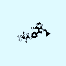 CC(C)(C)NC(=O)Oc1ccc(-c2cn(CC3CC3)c3ncnc(N)c23)cc1